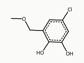 COCc1cc(Cl)cc(O)c1O